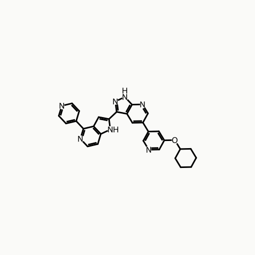 c1cc(-c2nccc3[nH]c(-c4n[nH]c5ncc(-c6cncc(OC7CCCCC7)c6)cc45)cc23)ccn1